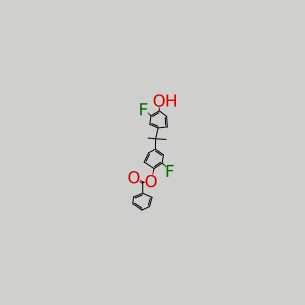 CC(C)(c1ccc(O)c(F)c1)c1ccc(OC(=O)c2ccccc2)c(F)c1